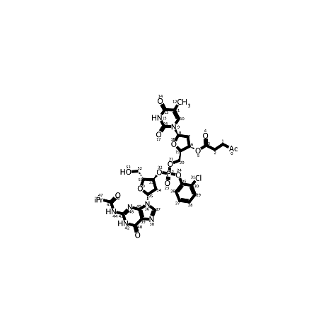 CC(=O)CCC(=O)O[C@H]1C[C@H](n2cc(C)c(=O)[nH]c2=O)O[C@@H]1COP(=O)(Oc1ccccc1Cl)O[C@H]1C[C@H](n2cnc3c(=O)[nH]c(NC(=O)C(C)C)nc32)O[C@@H]1CO